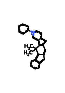 CC1(C)C2=c3ccccc3=CC2=Cc2cc3ccn(-c4ccccc4)cc-3c21